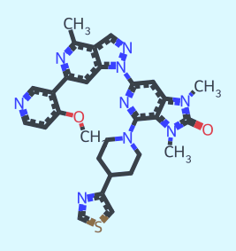 COc1ccncc1-c1cc2c(cnn2-c2cc3c(c(N4CCC(c5cscn5)CC4)n2)n(C)c(=O)n3C)c(C)n1